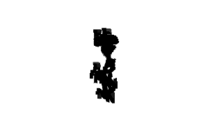 Cn1cnc2cnc(NCc3ccc(C4CN(S(=O)(=O)C(F)F)C4)cc3OC(F)F)cc21